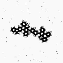 CC1(C)c2ccccc2-c2ccc(-c3c4ccccc4c(-c4ccc5cc(-c6c7ccccc7c(-c7ccccc7)c7c6cnc6ccccc67)ccc5c4)c4cnc5ccccc5c34)cc21